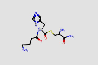 NCCCC(=O)N[C@@H](Cc1cnc[nH]1)C(=O)SCC(N)C(N)=O